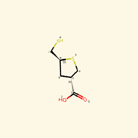 O=C(O)[C@H]1CS[C@H](CS)C1